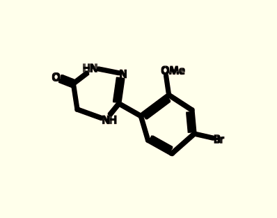 COc1cc(Br)ccc1C1=NNC(=O)CN1